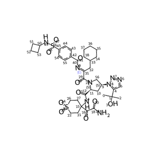 CC(C)(O)c1cnnn1[C@H]1C[C@@H](C(=O)NC2(C(=O)C(N)=O)CCS(=O)(=O)CC2)N(C(=O)/C(CC2CCCCC2)=N/C(=O)c2ccc(S(=O)(=O)NC3CCC3)cc2)C1